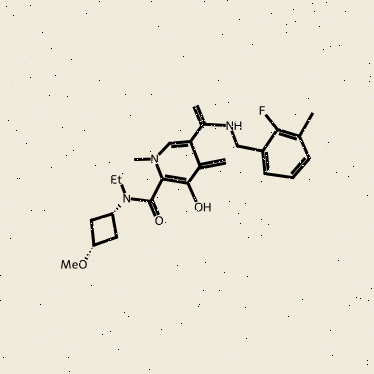 C=C(NCc1cccc(C)c1F)C1=CN(C)C(C(=O)N(CC)[C@H]2C[C@@H](OC)C2)=C(O)C1=C